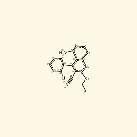 CCSc1nc2cccc(N)c2c(-c2ccccc2Cl)c1C#N